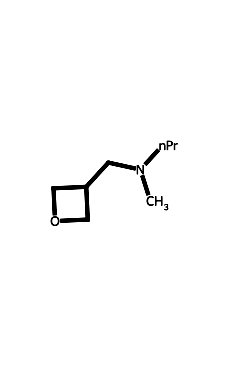 CCCN(C)CC1COC1